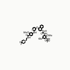 COc1cc(Nc2cc(Oc3ccc([AsH]C(=O)Nc4cc(C(C)(C)C)cc(NS(C)(=O)=O)c4OC)c4ccccc34)ccn2)ccc1C(=O)NCCN1CCC(F)(F)CC1